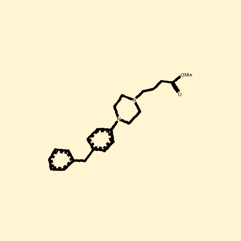 COC(=O)CCCN1CCN(c2ccc(Cc3ccccc3)cc2)CC1